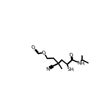 CC(C)NC(=O)C(S)CC(C)(C#N)CCOC=O